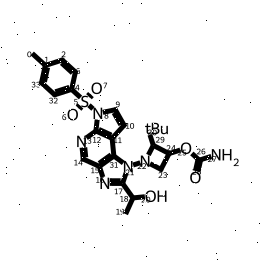 Cc1ccc(S(=O)(=O)n2ccc3c2ncc2nc(C(C)O)n(N4CC(OC(N)=O)C4C(C)(C)C)c23)cc1